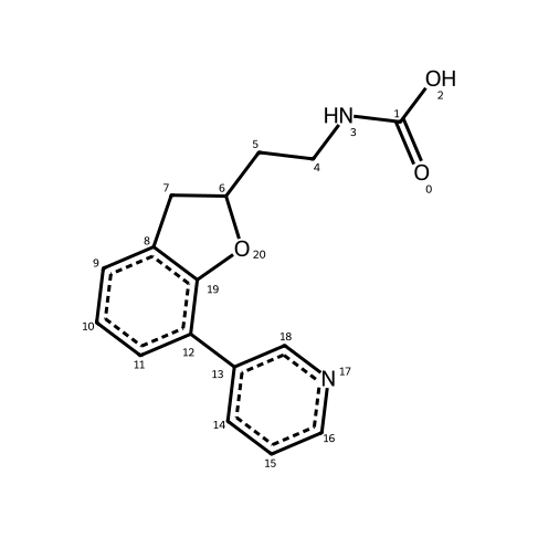 O=C(O)NCCC1Cc2cccc(-c3cccnc3)c2O1